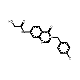 O=C(CO)Nc1ccc2c(=O)n(Cc3ccc(Cl)cc3)cnc2c1